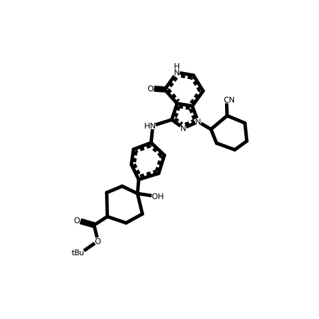 CC(C)(C)OC(=O)C1CCC(O)(c2ccc(Nc3nn(C4CCCCC4C#N)c4cc[nH]c(=O)c34)cc2)CC1